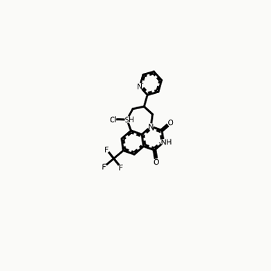 O=c1[nH]c(=O)n2c3c(cc(C(F)(F)F)cc13)[SH](Cl)CC(c1ccccn1)C2